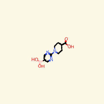 O=C(O)C1CCN(c2ncc(B(O)O)cn2)CC1